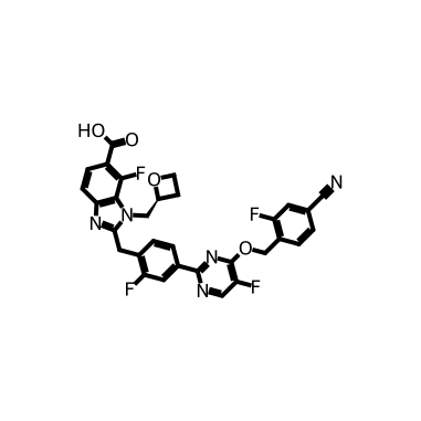 N#Cc1ccc(COc2nc(-c3ccc(Cc4nc5ccc(C(=O)O)c(F)c5n4C[C@@H]4CCO4)c(F)c3)ncc2F)c(F)c1